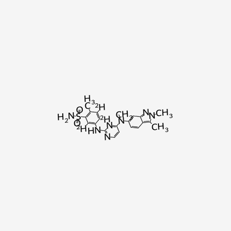 [2H]c1c([2H])c(Nc2nccc(N(C)c3ccc4c(C)n(C)nc4c3)n2)c([2H])c(S(N)(=O)=O)c1C